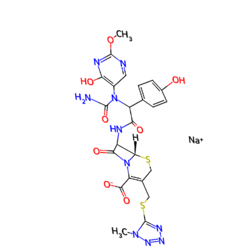 COc1ncc(N(C(N)=O)C(C(=O)NC2C(=O)N3C(C(=O)[O-])=C(CSc4nnnn4C)CS[C@@H]23)c2ccc(O)cc2)c(O)n1.[Na+]